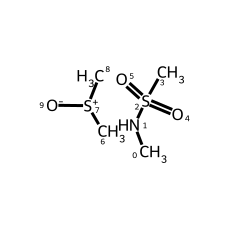 CNS(C)(=O)=O.C[S+](C)[O-]